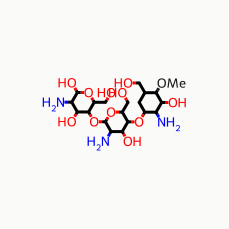 COC1C(CO)CC(OC2C(CO)OC(OC3C(CO)OC(O)C(N)C3O)C(N)C2O)C(N)C1O